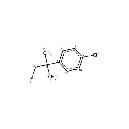 [CH2]C(C)(CF)c1ccc(Cl)cc1